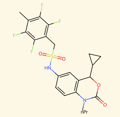 CCCN1C(=O)OC(C2CC2)c2cc(NS(=O)(=O)Cc3c(F)c(F)c(C)c(F)c3F)ccc21